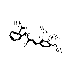 COc1ccc(/C=C/C(=O)Nc2ccccc2C(N)=O)c(OC)c1OC